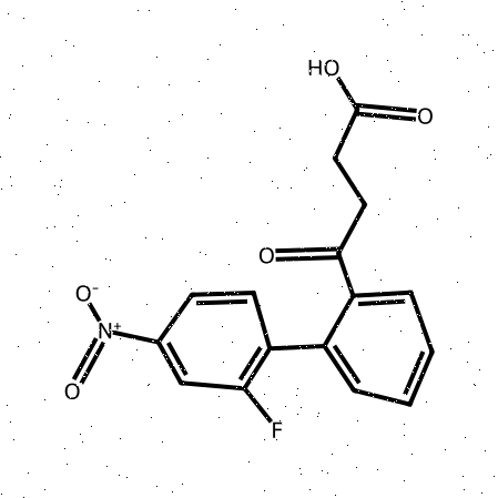 O=C(O)CCC(=O)c1ccccc1-c1ccc([N+](=O)[O-])cc1F